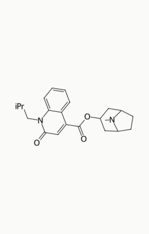 CC(C)Cn1c(=O)cc(C(=O)OC2CC3CCC(C2)N3C)c2ccccc21